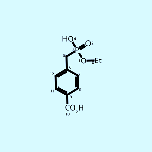 CCOP(=O)(O)Cc1ccc(C(=O)O)cc1